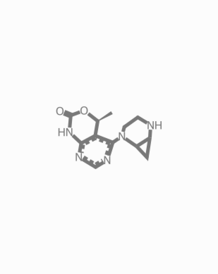 C[C@@H]1OC(=O)Nc2ncnc(N3CCNC4CC43)c21